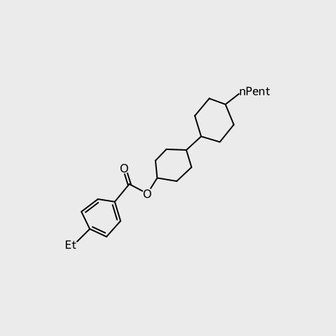 CCCCCC1CCC(C2CCC(OC(=O)c3ccc(CC)cc3)CC2)CC1